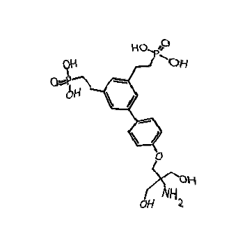 NC(CO)(CO)COc1ccc(-c2cc(CCP(=O)(O)O)cc(CCP(=O)(O)O)c2)cc1